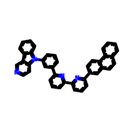 c1cc(-c2cccc(-c3cccc(-c4ccc5c(ccc6ccccc65)c4)n3)n2)cc(-n2c3ccccc3c3cnccc32)c1